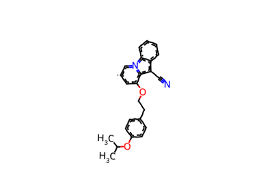 CC(C)Oc1ccc(CCOc2c[c]cn3c2c(C#N)c2ccccc23)cc1